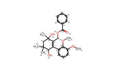 COc1cccc(C2=C(COC(=O)c3ccccc3)C(C)(O)CC(C)(C)C2O)c1OC